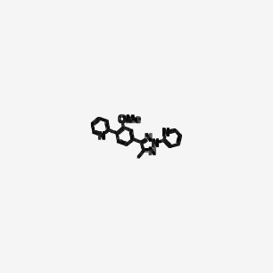 COc1cc(-c2nn(-c3ccccn3)nc2C)ccc1-c1ccccn1